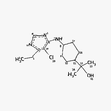 CCc1ncnc(NC2CCC(C(C)(C)O)CC2)c1Cl